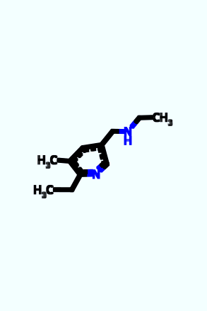 CCNCc1cnc(CC)c(C)c1